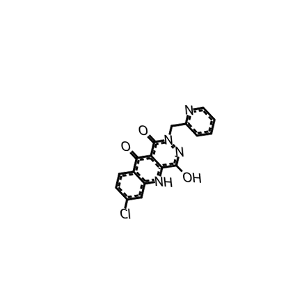 O=c1c2ccc(Cl)cc2[nH]c2c(O)nn(Cc3ccccn3)c(=O)c12